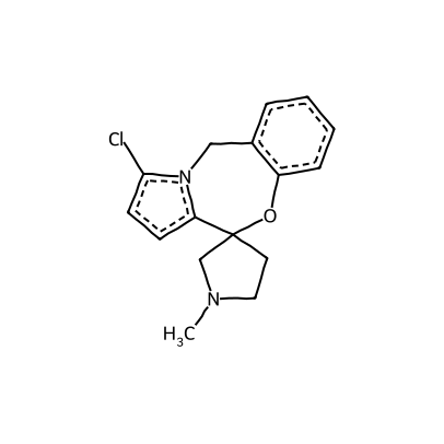 CN1CCC2(C1)Oc1ccccc1Cn1c(Cl)ccc12